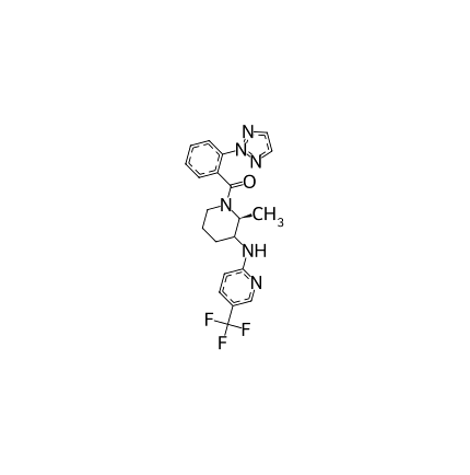 C[C@H]1C(Nc2ccc(C(F)(F)F)cn2)CCCN1C(=O)c1ccccc1-n1nccn1